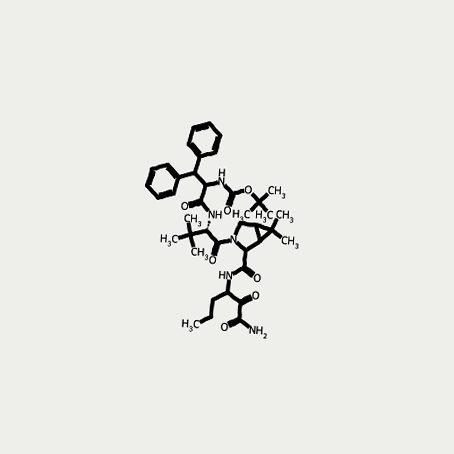 CCCC(NC(=O)C1C2C(CN1C(=O)[C@@H](NC(=O)C(NC(=O)OC(C)(C)C)C(c1ccccc1)c1ccccc1)C(C)(C)C)C2(C)C)C(=O)C(N)=O